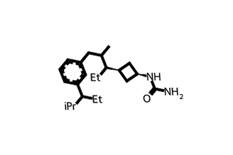 CCC(c1cccc(CC(C)C(CC)[C@H]2C[C@@H](NC(N)=O)C2)c1)C(C)C